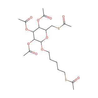 CC(=O)OC1C(CSC(C)=O)OC(OCCCCCSC(C)=O)C(OC(C)=O)C1OC(C)=O